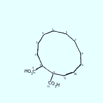 O=C(O)C1CCCCCCCCCCC1C(=O)O